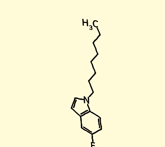 CCCCCCCCn1ccc2cc(F)ccc21